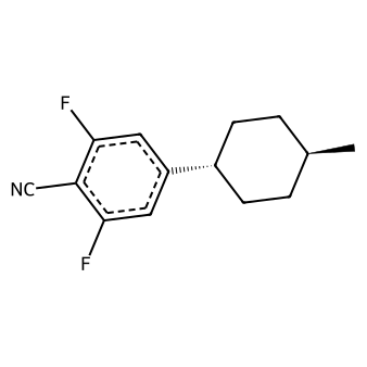 C[C@H]1CC[C@H](c2cc(F)c(C#N)c(F)c2)CC1